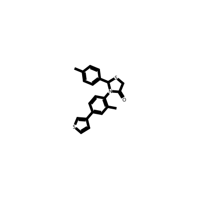 Cc1ccc(C2SCC(=O)N2c2ccc(-c3ccsc3)cc2C)cc1